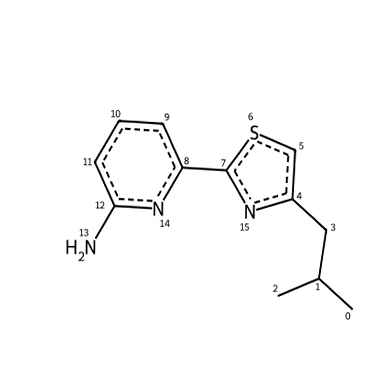 CC(C)Cc1csc(-c2cccc(N)n2)n1